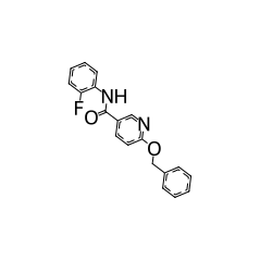 O=C(Nc1ccccc1F)c1ccc(OCc2ccccc2)nc1